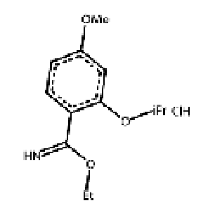 CCOC(=N)c1ccc(OC)cc1OC(C)C.Cl